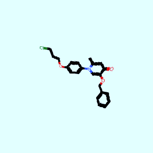 Cc1cc(=O)c(OCc2ccccc2)cn1-c1ccc(OCCCCl)cc1